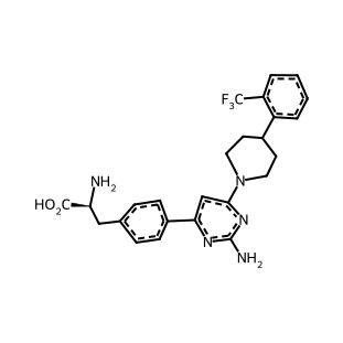 Nc1nc(-c2ccc(C[C@H](N)C(=O)O)cc2)cc(N2CCC(c3ccccc3C(F)(F)F)CC2)n1